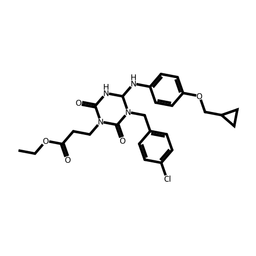 CCOC(=O)CCN1C(=O)NC(Nc2ccc(OCC3CC3)cc2)N(Cc2ccc(Cl)cc2)C1=O